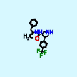 C=C(Cc1ccccc1)NC(=O)[C@@H]1CNC[C@H]1c1ccc(C(F)(F)F)cc1